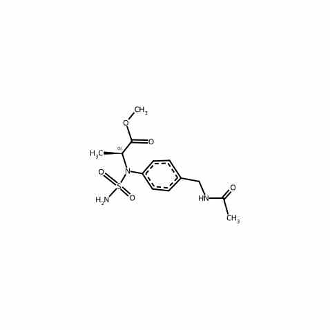 COC(=O)[C@H](C)N(c1ccc(CNC(C)=O)cc1)S(N)(=O)=O